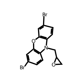 Brc1ccc2c(c1)Oc1cc(Br)ccc1N2CC1CO1